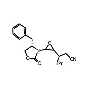 CCC[C@H](CC#N)C1OC1N1C(=O)OC[C@@H]1Cc1ccccc1